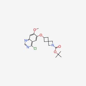 COc1cc2ncnc(Cl)c2cc1OC1CC2(C1)CN(C(=O)OC(C)(C)C)C2